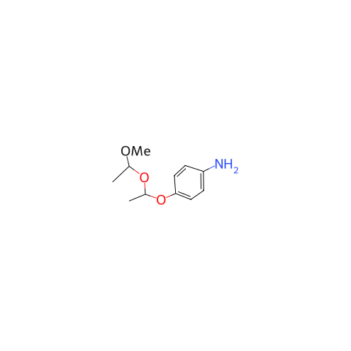 COC(C)OC(C)Oc1ccc(N)cc1